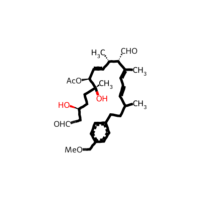 COCc1ccc(CCC(C)/C=C/C=C(\C)[C@@H](C=O)[C@@H](C)/C=C/[C@H](OC(C)=O)[C@@](C)(O)CC[C@H](O)CC=O)cc1